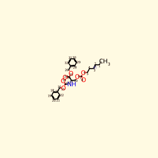 CC/C=C/CCOC(=O)OCC(NC(=O)OCc1ccccc1)C(=O)OCc1ccccc1